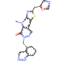 Cn1c2nc(Cc3cnco3)sc2c2cnn(Cc3cccc4[nH]ncc34)c(=O)c21